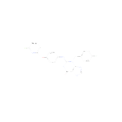 O=c1[nH]/c(=N\c2ccc(Oc3cccc(F)n3)cc2)n(Cc2ccc(Cl)cc2)c2nc[nH]c12